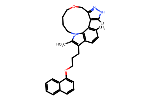 CCc1[nH]nc2c1-c1c(C)ccc3c(CCCOc4cccc5ccccc45)c(C(=O)O)n(c13)CCCCOC2